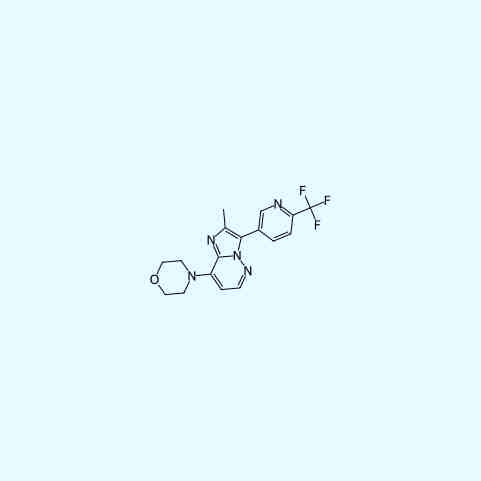 Cc1nc2c(N3CCOCC3)ccnn2c1-c1ccc(C(F)(F)F)nc1